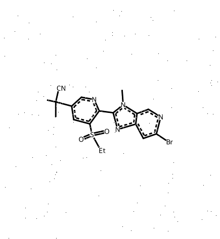 CCS(=O)(=O)c1cc(C(C)(C)C#N)cnc1-c1nc2cc(Br)ncc2n1C